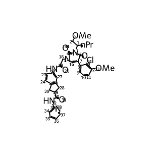 CCCC(COC)n1c(=O)c(-c2cccc(OC)c2Cl)cn(CC(=O)Nc2ccc3c(c2)CC(C(=O)Nc2ccccn2)C3)c1=O